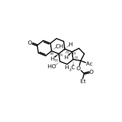 CCC(=O)OC1(C(C)=O)CC[C@H]2[C@@H]3CCC4=CC(=O)C=C[C@]4(C)[C@H]3[C@@H](O)C[C@@]21C